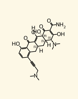 CN(C)CC#Cc1ccc(O)c2c1C[C@@H]1C[C@H]3[C@H](N(C)C)C(O)=C(C(N)=O)C(=O)[C@]3(O)C(O)=C1C2=O